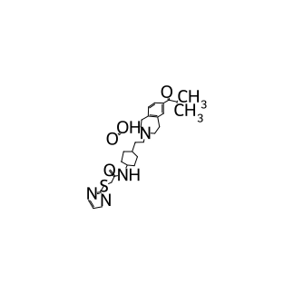 CC(C)C(=O)c1ccc2c(c1)CCN(CCC1CCC(NC(=O)CSc3ncccn3)CC1)CC2.O=CO